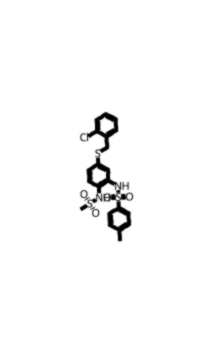 Cc1ccc(S(=O)(=O)Nc2cc(SCc3ccccc3Cl)ccc2NS(C)(=O)=O)cc1